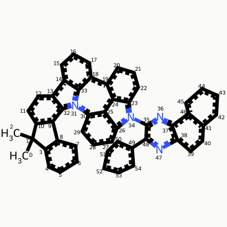 CC1(C)c2ccccc2-c2c1ccc1c3cccc4c5cccc6c5c5c(cccc5n(c21)c43)n6-c1nc2c(ccc3ccccc32)nc1-c1ccccc1